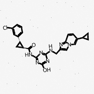 O=C(Nc1nc(O)nc(NCc2cn3cc(C4CC4)ccc3n2)n1)[C@H]1C[C@@H]1c1cccc(Cl)c1